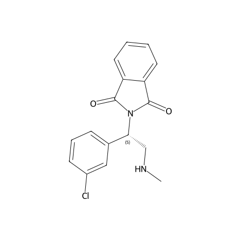 CNC[C@H](c1cccc(Cl)c1)N1C(=O)c2ccccc2C1=O